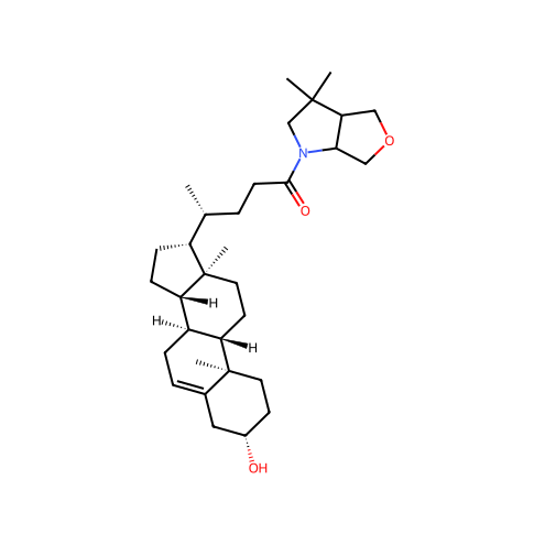 C[C@H](CCC(=O)N1CC(C)(C)C2COCC21)[C@H]1CC[C@H]2[C@@H]3CC=C4C[C@@H](O)CC[C@]4(C)[C@H]3CC[C@]12C